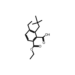 CCOC(=O)c1ccc(CC)c(CC(C)(C)C)c1C(=O)O